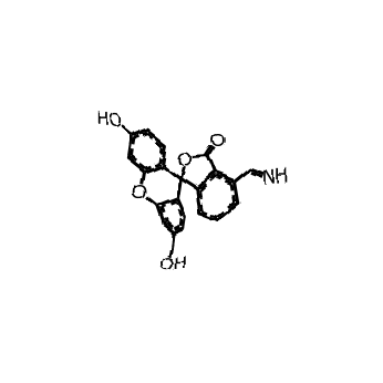 N=Cc1cccc2c1C(=O)OC21c2ccc(O)cc2Oc2cc(O)ccc21